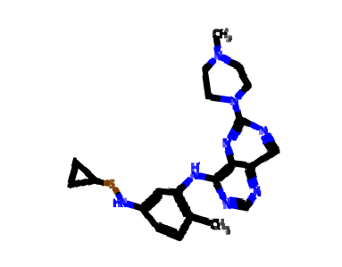 Cc1ccc(NSC2CC2)cc1Nc1ncnc2cnc(N3CCN(C)CC3)nc12